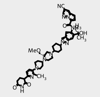 COC[C@@H]1CN(C2CCC(n3cc4cc(NC(=O)c5ccc6cc(C#N)cnn56)c(C(C)(C)O)cc4n3)CC2)CCN1C1CCN(c2ccc(C3CCC(=O)NC3=O)nc2C)CC1